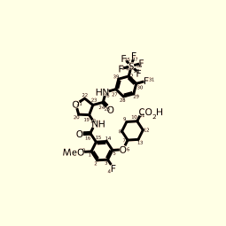 COc1cc(F)c(OC2CCC(C(=O)O)CC2)cc1C(=O)NC1COCC1C(=O)Nc1ccc(F)c(S(F)(F)(F)(F)F)c1